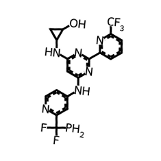 OC1CC1Nc1cc(Nc2ccnc(C(F)(F)P)c2)nc(-c2cccc(C(F)(F)F)n2)n1